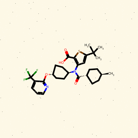 CC(C)(C)c1cc(N(C(=O)[C@H]2CC[C@H](C)CC2)[C@H]2CC[C@H](Oc3ncccc3C(F)(F)F)CC2)c(C(=O)O)s1